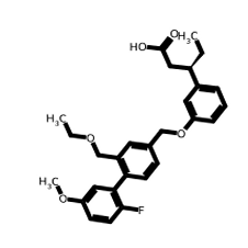 CCOCc1cc(COc2cccc([C@H](CC)CC(=O)O)c2)ccc1-c1cc(OC)ccc1F